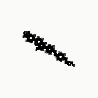 CCCC1CCC(CCc2ccc(-c3cc(F)c4c(c3)CCC(C3CCC(CC)CC3)O4)cc2)CC1